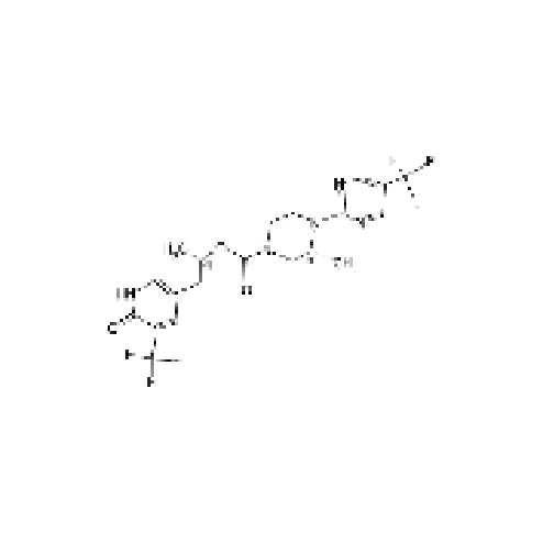 C[C@@H]1CN(C(=O)O[C@@H](C)Cc2c[nH]c(=O)c(C(F)(F)F)c2)CCN1c1ncc(C(F)(F)F)cn1